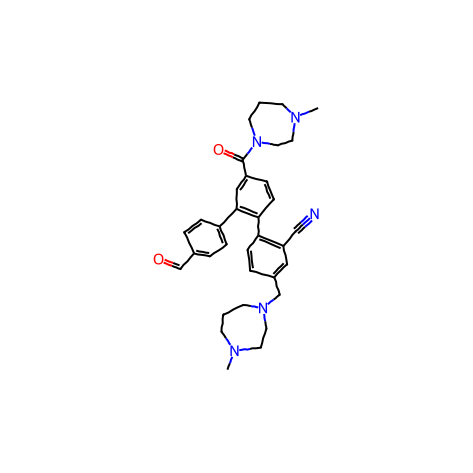 CN1CCCN(Cc2ccc(-c3ccc(C(=O)N4CCCN(C)CC4)cc3-c3ccc(C=O)cc3)c(C#N)c2)CC1